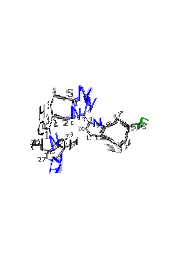 C[C@@H](c1ccc2nnc(-c3ccc4ccc(F)cc4n3)n2c1)N1C[C@@H]2C[C@H]1CN2